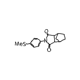 CSc1ccc(N2C(=O)C3C4CCC(C4)C3C2=O)cc1